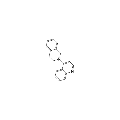 c1ccc2c(c1)CCN(c1ccnc3ccccc13)C2